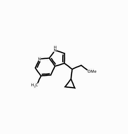 COCC(c1c[nH]c2ncc(C)cc12)C1CC1